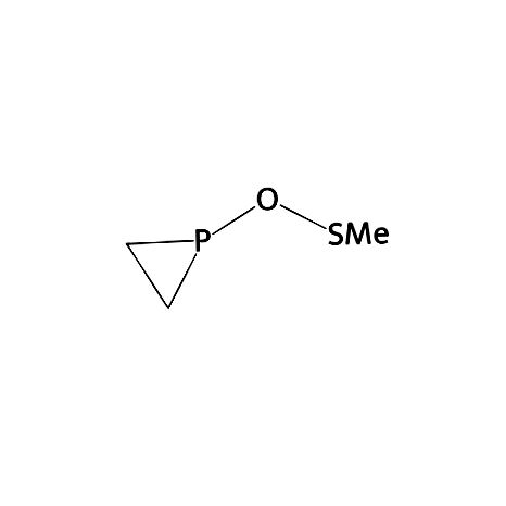 CSOP1CC1